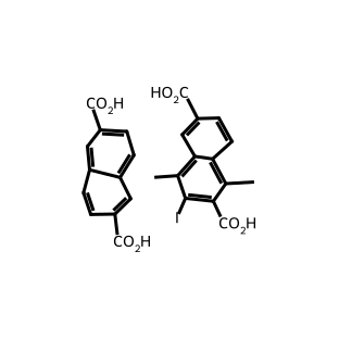 Cc1c(I)c(C(=O)O)c(C)c2ccc(C(=O)O)cc12.O=C(O)c1ccc2cc(C(=O)O)ccc2c1